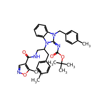 Cc1ccc(CC(CNC(=O)c2cnoc2C)n2c(=NC(=O)OC(C)(C)C)n(Cc3ccc(C)cc3)c3ccccc32)cc1